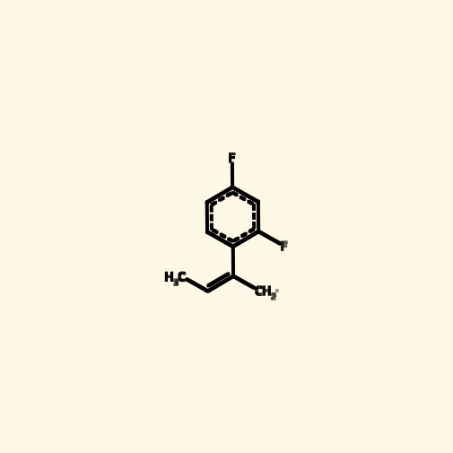 [CH2]/C(=C/C)c1ccc(F)cc1F